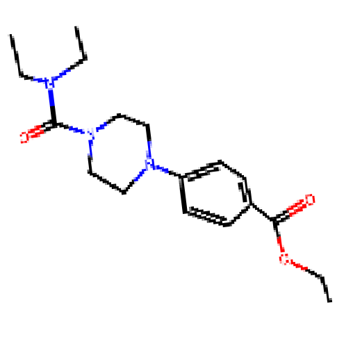 CCOC(=O)c1ccc(N2CCN(C(=O)N(CC)CC)CC2)cc1